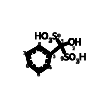 O=S(=O)(O)C(O)(c1ccccc1)S(=O)(=O)O